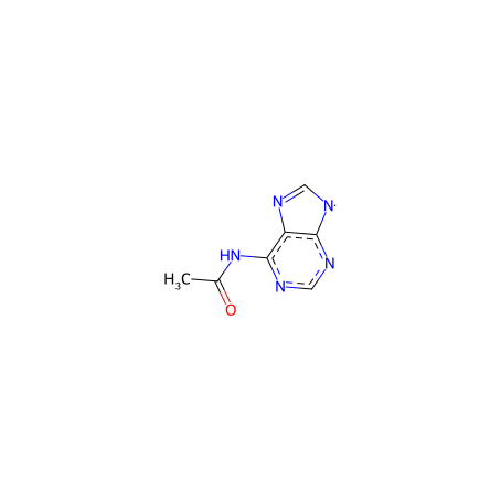 CC(=O)Nc1ncnc2c1N=C[N]2